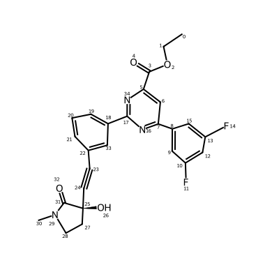 CCOC(=O)c1cc(-c2cc(F)cc(F)c2)nc(-c2cccc(C#C[C@]3(O)CCN(C)C3=O)c2)n1